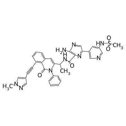 CC(NC(=O)c1nc(-c2cncc(NS(C)(=O)=O)c2)cnc1N)c1cc2cccc(C#Cc3cnn(C)c3)c2c(=O)n1-c1ccccc1